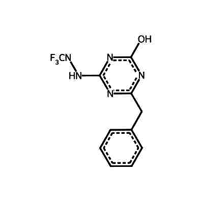 Oc1nc(Cc2ccccc2)nc(NNC(F)(F)F)n1